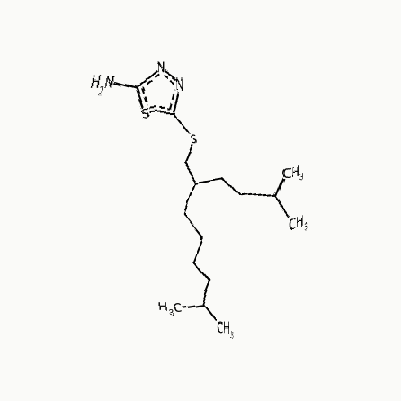 CC(C)CCCCC(CCC(C)C)CSc1nnc(N)s1